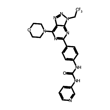 O=C(Nc1ccc(-c2nc(N3CCOCC3)c3nnn(CC(F)(F)F)c3n2)cc1)Nc1cccnc1